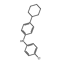 Clc1ccc(Nc2ccc(C3CCCCC3)cc2)cc1